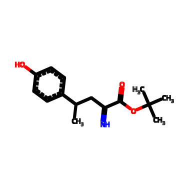 CC(CC(=N)C(=O)OC(C)(C)C)c1ccc(O)cc1